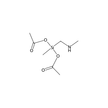 CNC[Si](C)(OC(C)=O)OC(C)=O